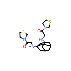 O=C(CNC12CC3CC(C1)CC(NCC(=O)N1CCSC1)(C3)C2)N1CCSC1